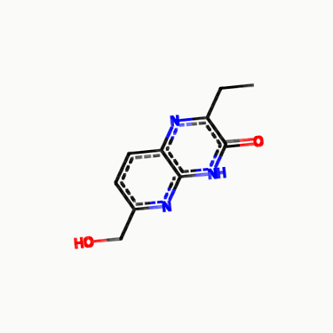 CCc1nc2ccc(CO)nc2[nH]c1=O